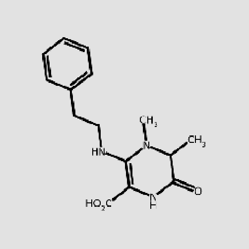 CC1C(=O)NC(C(=O)O)=C(NCCc2ccccc2)N1C